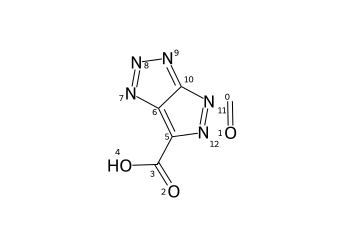 C=O.O=C(O)C1=C2N=NN=C2N=N1